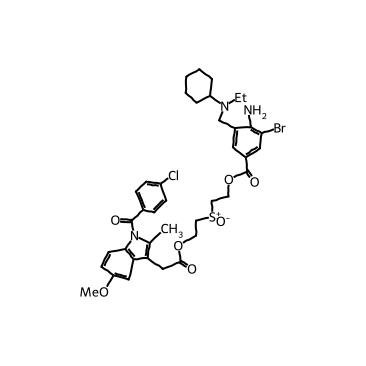 CCN(Cc1cc(C(=O)OCC[S+]([O-])CCOC(=O)Cc2c(C)n(C(=O)c3ccc(Cl)cc3)c3ccc(OC)cc23)cc(Br)c1N)C1CCCCC1